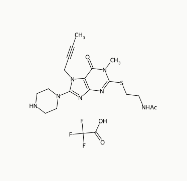 CC#CCn1c(N2CCNCC2)nc2nc(SCCNC(C)=O)n(C)c(=O)c21.O=C(O)C(F)(F)F